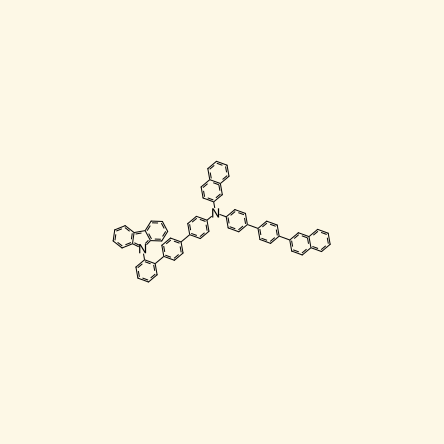 c1ccc(-n2c3ccccc3c3ccccc32)c(-c2ccc(-c3ccc(N(c4ccc(-c5ccc(-c6ccc7ccccc7c6)cc5)cc4)c4ccc5ccccc5c4)cc3)cc2)c1